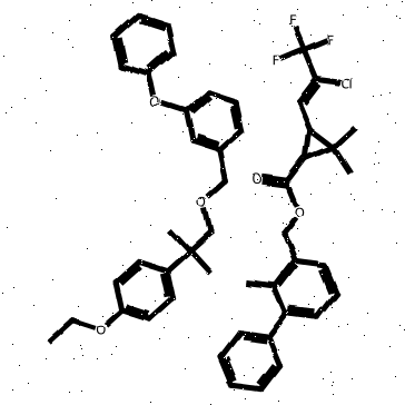 CCOc1ccc(C(C)(C)COCc2cccc(Oc3ccccc3)c2)cc1.Cc1c(COC(=O)C2C(/C=C(\Cl)C(F)(F)F)C2(C)C)cccc1-c1ccccc1